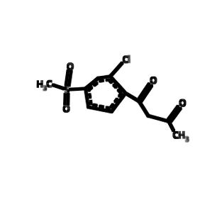 CC(=O)CC(=O)c1ccc(S(C)(=O)=O)cc1Cl